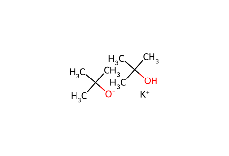 CC(C)(C)O.CC(C)(C)[O-].[K+]